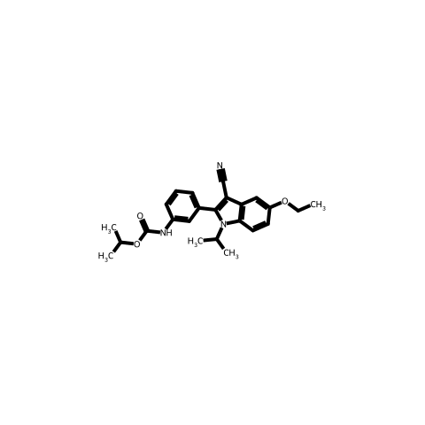 CCOc1ccc2c(c1)c(C#N)c(-c1cccc(NC(=O)OC(C)C)c1)n2C(C)C